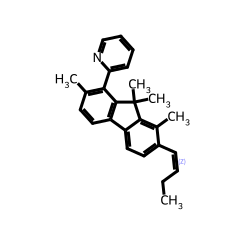 CC/C=C\c1ccc2c(c1C)C(C)(C)c1c-2ccc(C)c1-c1ccccn1